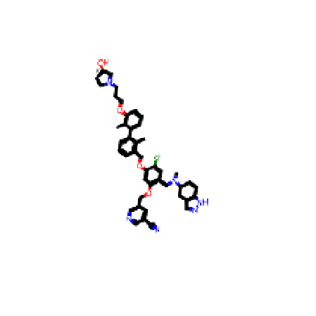 Cc1c(COc2cc(OCc3cncc(C#N)c3)c(CN(C)C3CCc4[nH]ncc4C3)cc2Cl)cccc1-c1cccc(OCCCN2CC[C@@H](O)C2)c1C